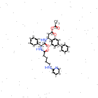 O=C(CCCCNc1ccccn1)N[C@H](C(=O)NC(CC(=O)OC(=O)C(F)(F)F)c1ccc(-c2ccccc2)cc1)c1ccccc1